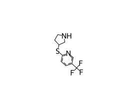 FC(F)(F)c1ccc(SC2CCNC2)nc1